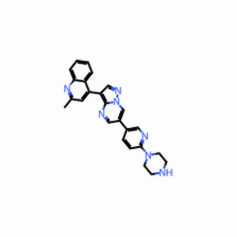 Cc1cc(-c2cnn3cc(-c4ccc(N5CCNCC5)nc4)cnc23)c2ccccc2n1